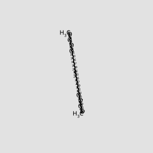 COCCOCCOCCOCCCCCCCCCCCSCCCCCCCCCCCOCCOCCOCCOC